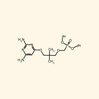 CC(C)OP(=O)(COCC(C)(C)COc1cc(N)nc(N)n1)OC(C)C